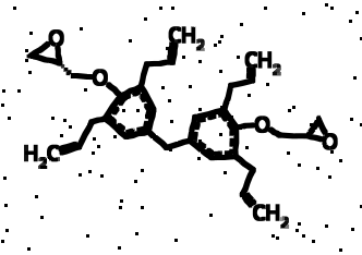 C=CCc1cc(Cc2cc(CC=C)c(OC[C@@H]3CO3)c(CC=C)c2)cc(CC=C)c1OCC1CO1